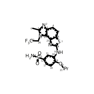 Cc1nc2ccc3sc(Nc4cc(S(N)(=O)=O)ccc4OC(C)C)nc3c2n1CC(F)(F)F